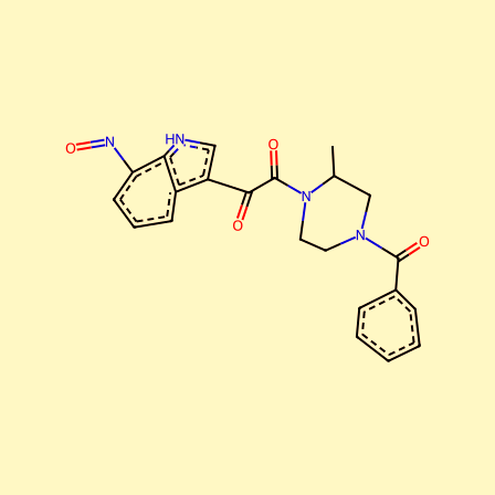 CC1CN(C(=O)c2ccccc2)CCN1C(=O)C(=O)c1c[nH]c2c(N=O)cccc12